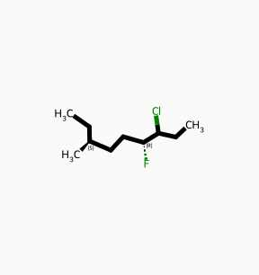 CCC(Cl)[C@H](F)CC[C@@H](C)CC